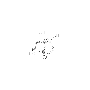 C[C@@H]1CSCC(=O)N[C@@H](CCCCN)C(=O)N[C@H]2CSSC[C@H](NC(=O)[C@H](CC(=O)O)NC(=O)CNC(=O)[C@H](CCCNC(=N)N)NC2=O)C(=O)N[C@@H](Cc2ccccc2)C(=O)N1